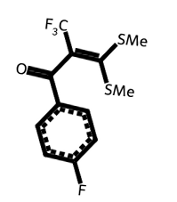 CSC(SC)=C(C(=O)c1ccc(F)cc1)C(F)(F)F